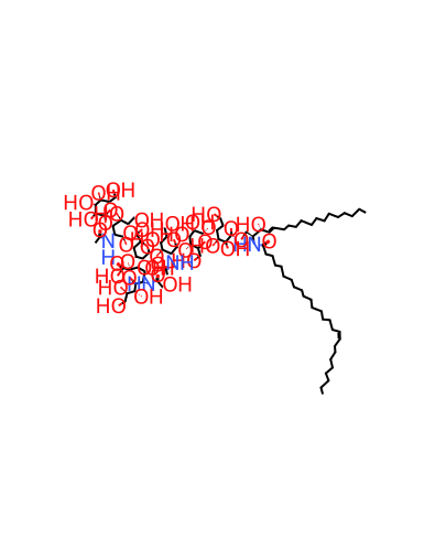 CCCCCCCC/C=C\CCCCCCCCCCCCCCCC(=O)N[C@@H](CO[C@@H]1OC(CO)[C@@H](O[C@@H]2OC(CO)[C@H](O[C@@H]3OC(CO)[C@H](O)[C@H](O[C@@H]4OC(CO)[C@H](O[C@@H]5OC(CO)[C@H](O)[C@H](O[C@@H]6OC(CO)[C@H](O)[C@H](O)C6O)C5NC(C)=O)[C@H](O[C@]5(C(=O)O)CC(O)[C@@H](NC(=O)CO)C([C@H](O)[C@H](O)CO)O5)C4O)C3NC(C)=O)[C@H](O)C2O)[C@H](O)C1O)[C@H](O)/C=C/CCCCCCCCCCCCC